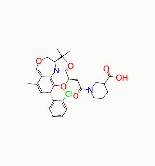 CC1=C[C@@H](c2ccccc2Cl)C2=C3C1=COC[C@@H](C(C)(C)C)N3C(=O)[C@@H](CC(=O)N1CCCC(C(=O)O)C1)O2